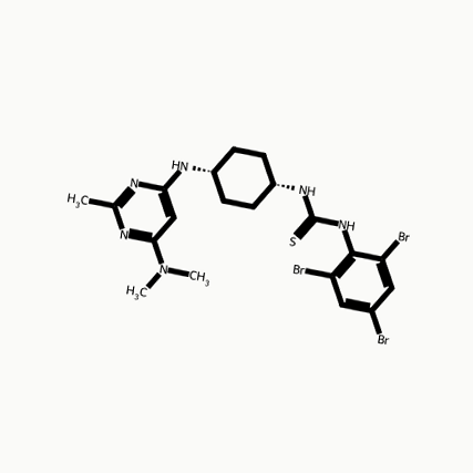 Cc1nc(N[C@H]2CC[C@@H](NC(=S)Nc3c(Br)cc(Br)cc3Br)CC2)cc(N(C)C)n1